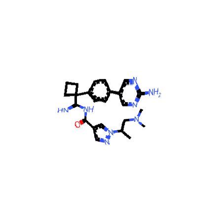 CC(CN(C)C)n1cc(C(=O)NC(=N)C2(c3ccc(-c4cnc(N)nc4)cc3)CCC2)cn1